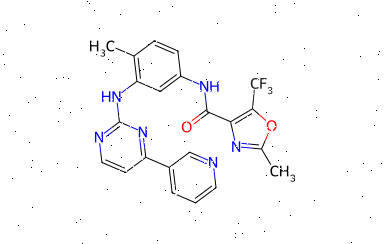 Cc1nc(C(=O)Nc2ccc(C)c(Nc3nccc(-c4cccnc4)n3)c2)c(C(F)(F)F)o1